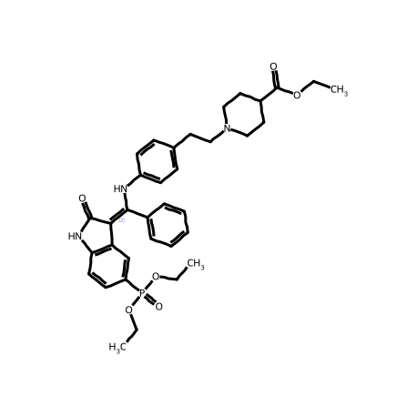 CCOC(=O)C1CCN(CCc2ccc(N/C(=C3\C(=O)Nc4ccc(P(=O)(OCC)OCC)cc43)c3ccccc3)cc2)CC1